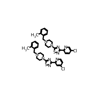 Cc1ccccc1CN1CCN(c2nc(-c3cc(Cl)ccn3)ns2)CC1.Cc1ccccc1CN1CCN(c2nc(-c3ccc(Cl)cn3)ns2)CC1